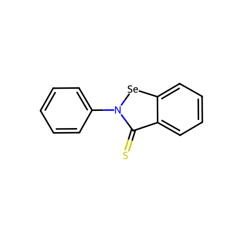 S=c1c2ccccc2[se]n1-c1ccccc1